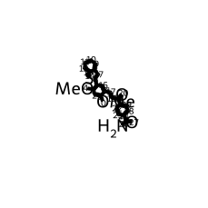 COc1cc(OC)c(-c2cc3ccccc3s2)cc1/C=C/C(=O)c1ccc(C(N)=O)cc1